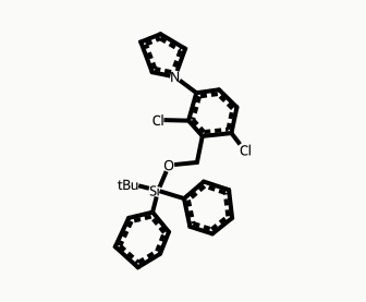 CC(C)(C)[Si](OCc1c(Cl)ccc(-n2cccc2)c1Cl)(c1ccccc1)c1ccccc1